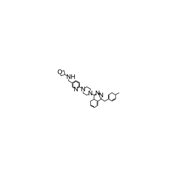 CC1C=CC(CC2=NN=C(N3CCN(c4ccc(CNC5COC5)cn4)CC3)C3CC=CC=C23)=CC1